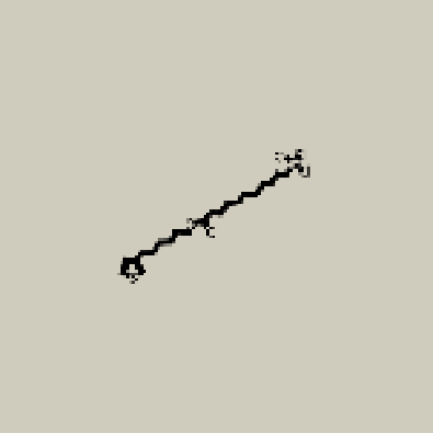 O=C(CCCCCCCCCC[Si](Cl)(Cl)Cl)OCCCCCCc1ccsc1